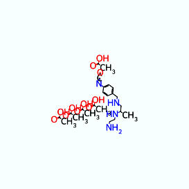 CC(=O)O.CC(=O)O.CC(=O)O.CC(=O)O.CC(=O)O.CC(CNCc1ccc(N=C=O)cc1)NCCN